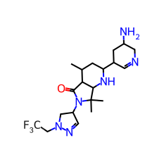 CC1CC(C2C=NCC(N)C2)NC2C1C(=O)N(C1C=NN(CC(F)(F)F)C1)C2(C)C